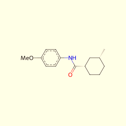 COc1ccc(NC(=O)[C@H]2CCC[C@@H](C)C2)cc1